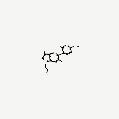 CCOc1ccc(-c2nc3c(C)cn([C@@H](CC)CO)c3cc2C)c(CC)n1